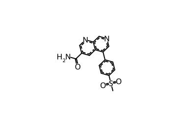 CS(=O)(=O)c1ccc(-c2cncc3ncc(C(N)=O)cc23)cc1